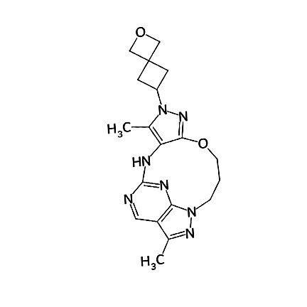 Cc1nn2c3nc(ncc13)Nc1c(nn(C3CC4(COC4)C3)c1C)OCCC2